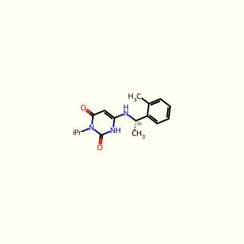 Cc1ccccc1[C@H](C)Nc1cc(=O)n(C(C)C)c(=O)[nH]1